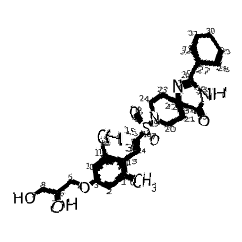 Cc1cc(OCC(O)CO)cc(C)c1C=CS(=O)(=O)N1CCC2(CC1)N=C(C1CCCCC1)NC2=O